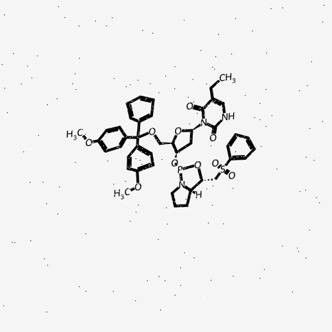 CCc1c[nH]c(=O)n([C@H]2C[C@H](O[P@]3O[C@H](CS(=O)(=O)c4ccccc4)[C@@H]4CCCN43)[C@@H](COC(c3ccccc3)(c3ccc(OC)cc3)c3ccc(OC)cc3)O2)c1=O